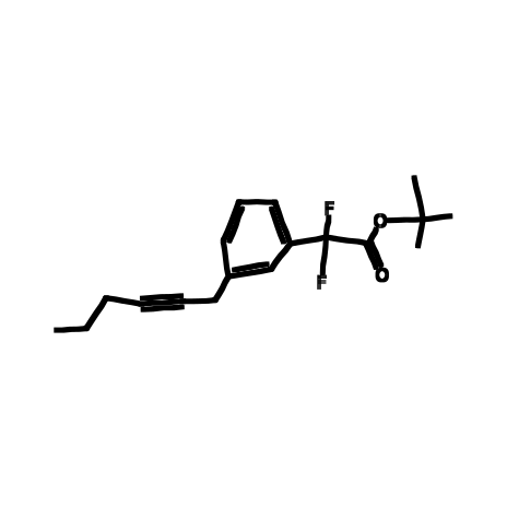 CCCC#CCc1cccc(C(F)(F)C(=O)OC(C)(C)C)c1